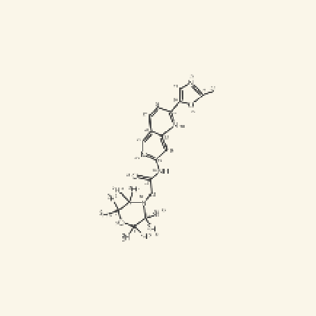 [2H]C1([2H])OC([2H])([2H])C([2H])([2H])N(CC(=O)Nc2cc3nc(-c4cnc(C)o4)ccc3cn2)C1([2H])[2H]